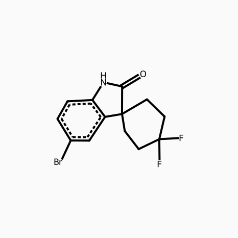 O=C1Nc2ccc(Br)cc2C12CCC(F)(F)CC2